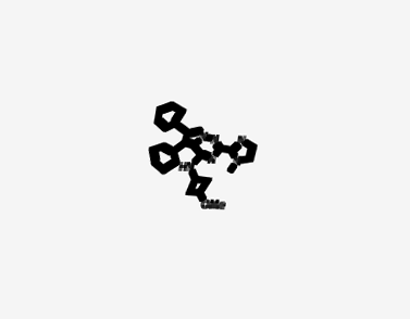 COC1CC(Nc2nc(-c3nccn3C)nn3cc(-c4ccccc4)c(-c4ccccc4)c23)C1